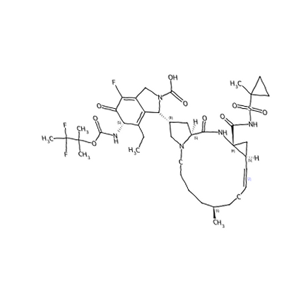 CCC1=C2C(=C(F)C(=O)[C@H]1NC(=O)OC(C)(C)C(C)(F)F)CN(C(=O)O)C2[C@@H]1C[C@H]2C(=O)N[C@]3(C(=O)NS(=O)(=O)C4(C)CC4)C[C@H]3/C=C\CC[C@@H](C)CCCCN2C1